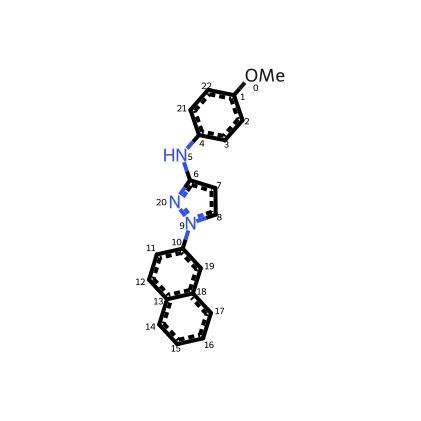 COc1ccc(Nc2ccn(-c3ccc4ccccc4c3)n2)cc1